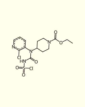 CCOC(=O)N1CCC(N(C(=O)NS(=O)(=O)Cl)c2cccnc2Cl)CC1